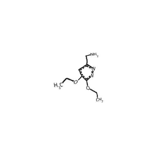 CCOc1cc(CN)nnc1OCC